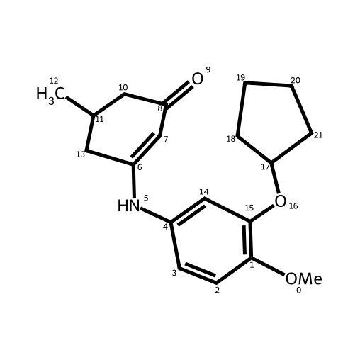 COc1ccc(NC2=CC(=O)CC(C)C2)cc1OC1CCCC1